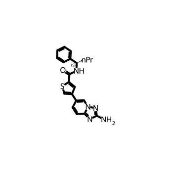 CCC[C@H](NC(=O)c1cc(-c2ccc3nc(N)nn3c2)cs1)c1ccccc1